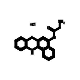 Cl.NCC(=O)Oc1cc2c(c3ccccc13)Nc1ccccc1S2